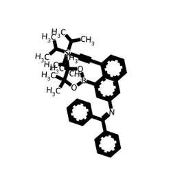 CC(C)[Si](C#Cc1cccc2cc(N=C(c3ccccc3)c3ccccc3)cc(B3OC(C)(C)C(C)(C)O3)c12)(C(C)C)C(C)C